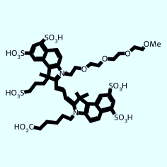 COCCOCCOCCOCC[N+]1=C(/C=C/C=C2/N(CCCCCC(=O)O)c3ccc4c(S(=O)(=O)O)cc(S(=O)(=O)O)cc4c3C2(C)C)C(C)(CCCS(=O)(=O)O)c2c1ccc1c(S(=O)(=O)O)cc(S(=O)(=O)O)cc21